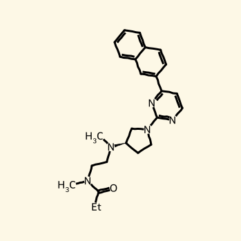 CCC(=O)N(C)CCN(C)[C@@H]1CCN(c2nccc(-c3ccc4ccccc4c3)n2)C1